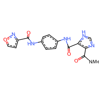 CNC(=O)c1nc[nH]c1C(=O)Nc1ccc(NC(=O)c2ccon2)cc1